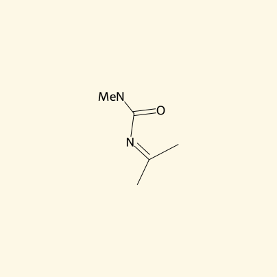 CNC(=O)N=C(C)C